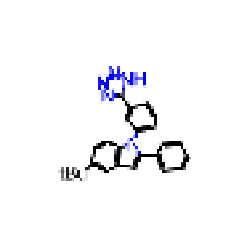 CC(C)(C)c1ccc2c(c1)cc(-c1ccccc1)n2-c1cccc(-c2nnn[nH]2)c1